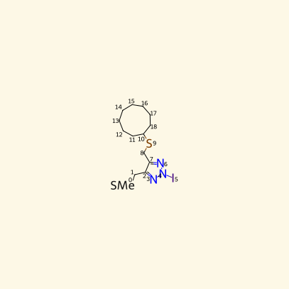 CSCc1nn(I)nc1CSC1CCCCCCCC1